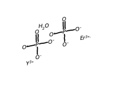 O.O=P([O-])([O-])[O-].O=P([O-])([O-])[O-].[Er+3].[Y+3]